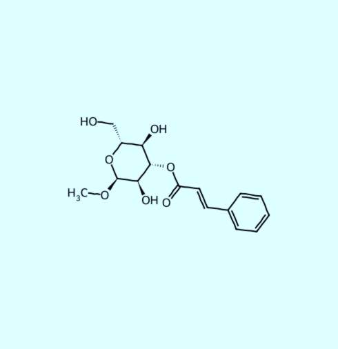 CO[C@H]1O[C@H](CO)[C@@H](O)[C@H](OC(=O)/C=C/c2ccccc2)[C@H]1O